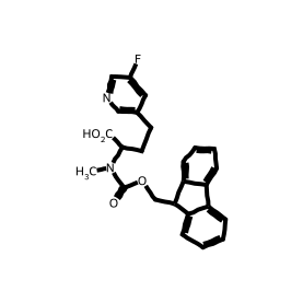 CN(C(=O)OCC1c2ccccc2-c2ccccc21)C(CCc1cncc(F)c1)C(=O)O